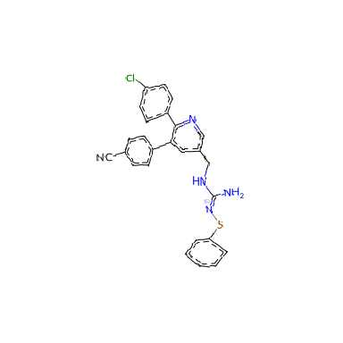 N#Cc1ccc(-c2cc(CN/C(N)=N/Sc3ccccc3)cnc2-c2ccc(Cl)cc2)cc1